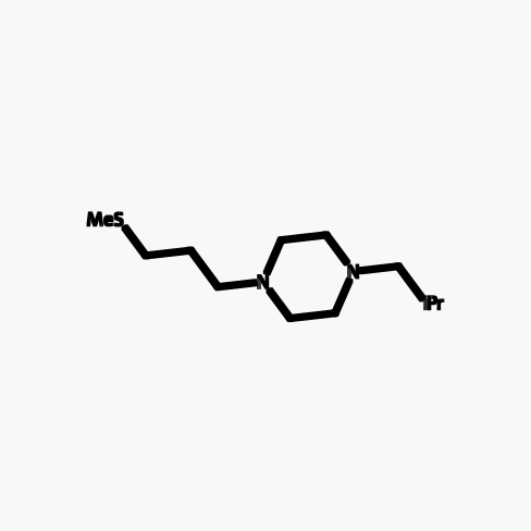 CSCCCN1CCN(CC(C)C)CC1